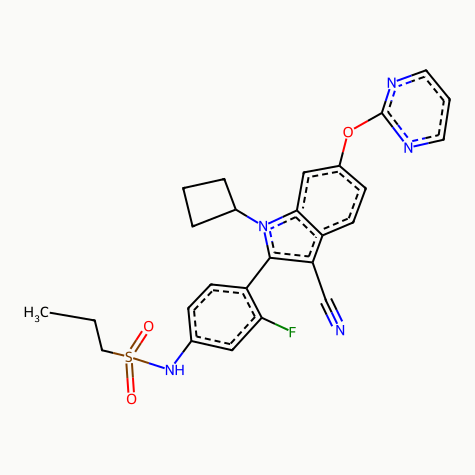 CCCS(=O)(=O)Nc1ccc(-c2c(C#N)c3ccc(Oc4ncccn4)cc3n2C2CCC2)c(F)c1